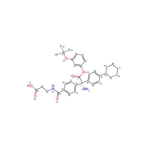 N[C@@](C(=O)Oc1cccc(OC(F)(F)F)c1)(c1ccc(C(=O)NCCC(=O)O)cc1)c1ccc(C2CCCCC2)cc1